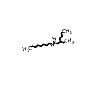 CCCCCCCC[N]NCC(CC)CCCC